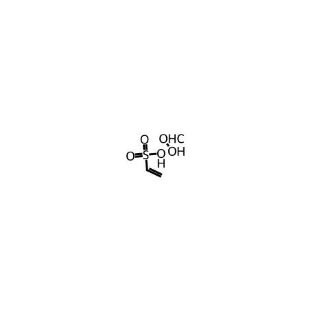 C=CS(=O)(=O)O.O=CO